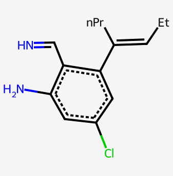 CC/C=C(\CCC)c1cc(Cl)cc(N)c1C=N